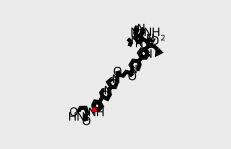 CC(C)n1nc(-c2noc(C3CC3)c2-c2ccc(C3CCN(C(=O)CCC(=O)N4CCC(N5CCC(c6ccc(NC7CCC(=O)NC7=O)cc6)CC5)CC4)CC3)cn2)c2c(N)ncnc21